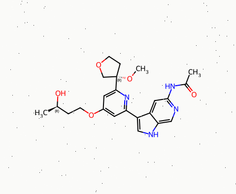 CO[C@@]1(c2cc(OCC[C@@H](C)O)cc(-c3c[nH]c4cnc(NC(C)=O)cc34)n2)CCOC1